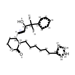 O=C1SCC[C@H](/C=C/[C@@H](O)C(F)(F)c2ccccc2)N1CCCCCCc1nn[nH]n1